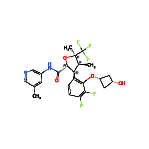 Cc1cncc(NC(=O)[C@@H]2O[C@@](C)(C(F)(F)F)[C@@H](C)[C@H]2c2ccc(F)c(F)c2O[C@H]2C[C@@H](O)C2)c1